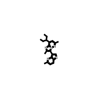 CCC(CC)c1cc(C)nn2c(-c3csc4ccc(C)nc34)c(C)nc12